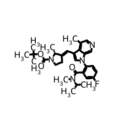 Cc1cncc2c1c(/C=C1\CCN(C(=O)OC(C)(C)C)[C@H]1C)cn2-c1ccc(F)cc1C(=O)N(C)C(C)C